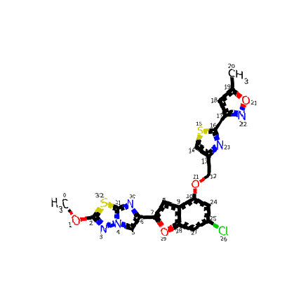 COc1nn2cc(-c3cc4c(OCc5csc(-c6cc(C)on6)n5)cc(Cl)cc4o3)nc2s1